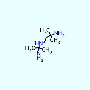 CC(C)(N)CCNC(C)(C)N